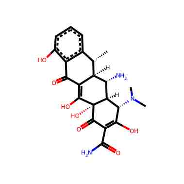 C[C@H]1c2cccc(O)c2C(=O)C2=C(O)[C@]3(O)C(=O)C(C(N)=O)=C(O)[C@@H](N(C)C)[C@@H]3[C@@H](N)[C@@H]21